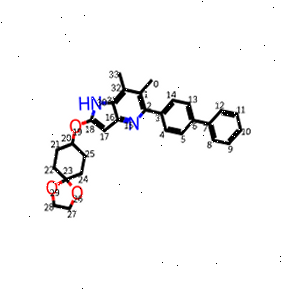 Cc1c(-c2ccc(-c3ccccc3)cc2)nc2cc(OC3CCC4(CC3)OCCO4)[nH]c2c1C